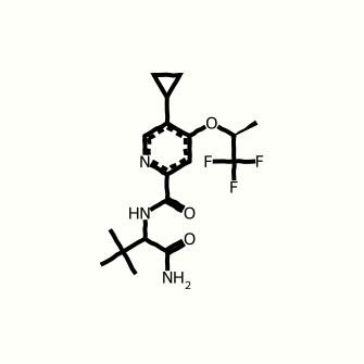 C[C@H](Oc1cc(C(=O)NC(C(N)=O)C(C)(C)C)ncc1C1CC1)C(F)(F)F